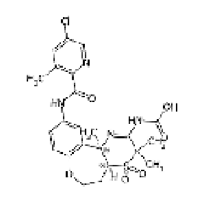 Cc1cc(Cl)cnc1C(=O)Nc1ccc2c(c1)[C@@]1(C)N=C(NC(=O)O)C(C)(C)S(=O)(=O)[C@H]1CCO2